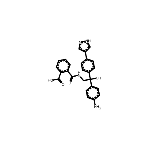 Nc1ccc(C(O)(CNC(=O)c2ccccc2C(=O)O)c2ccc(-c3cn[nH]c3)cc2)cc1